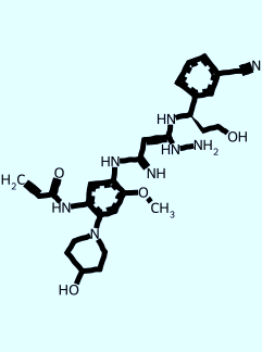 C=CC(=O)Nc1cc(NC(=N)/C=C(\NN)N[C@H](CCO)c2cccc(C#N)c2)c(OC)cc1N1CCC(O)CC1